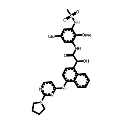 COc1c(NC(=O)C(O)c2ccc(Nc3ccnc(N4CCCC4)n3)c3ccccc23)cc(C(C)(C)C)cc1NS(C)(=O)=O